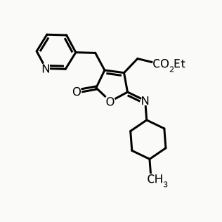 CCOC(=O)CC1=C(Cc2cccnc2)C(=O)O/C1=N\C1CCC(C)CC1